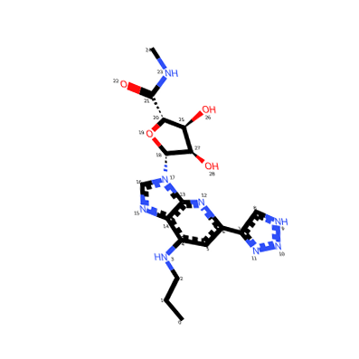 CCCNc1cc(-c2c[nH]nn2)nc2c1ncn2[C@@H]1O[C@H](C(=O)NC)[C@@H](O)[C@H]1O